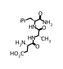 CC(C)C[C@H](NC(=O)[C@H](C)NC(=O)[C@@H](N)CC(=O)O)C(N)=O